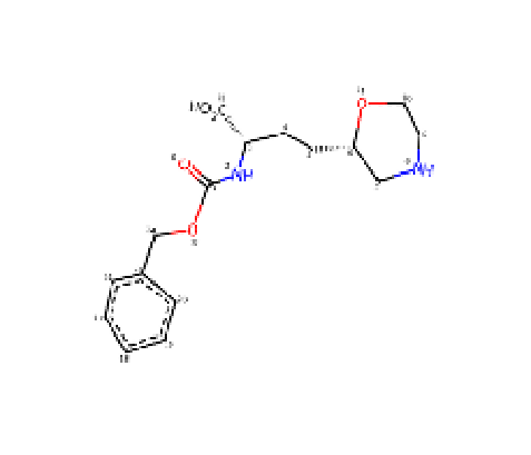 O=C(N[C@@H](CC[C@H]1CNCCO1)C(=O)O)OCc1ccccc1